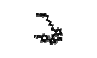 CCOC(=O)CCCCCOc1ccccc1Cn1c(C#N)cnc1-c1ccc(C(F)(F)F)cc1